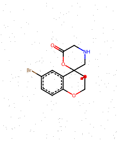 O=C1CNCC2(O1)c1cc(Br)ccc1OCC21COC1